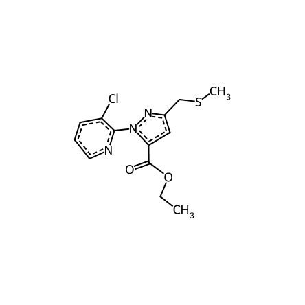 CCOC(=O)c1cc(CSC)nn1-c1ncccc1Cl